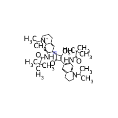 CC(C)N1CCCc2cc(C3=C(O)/C(=c4\cc5c(cc4NC(=O)C(C)(C)C)=[N+](C(C)C)CCC5)C3=O)c(NC(=O)C(C)(C)C)cc21